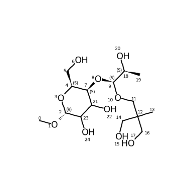 CO[C@@H]1O[C@@H](CO)[C@@H](O[C@H](OCC(C)(CO)CO)[C@H](C)O)C(O)C1O